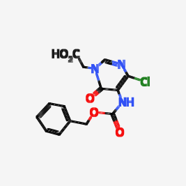 O=C(O)Cn1cnc(Cl)c(NC(=O)OCc2ccccc2)c1=O